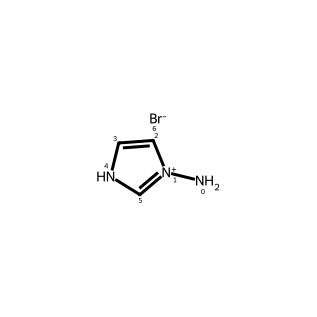 N[n+]1cc[nH]c1.[Br-]